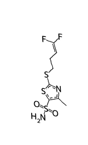 Cc1nc(SCCC=C(F)F)sc1S(N)(=O)=O